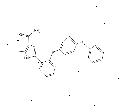 Cc1[nH]c(-c2ccccc2Oc2ccc(Oc3ccccc3)cc2)cc1C(N)=O